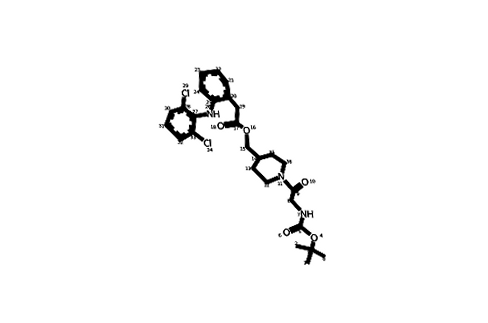 CC(C)(C)OC(=O)NCC(=O)N1CCC(COC(=O)Cc2ccccc2Nc2c(Cl)cccc2Cl)CC1